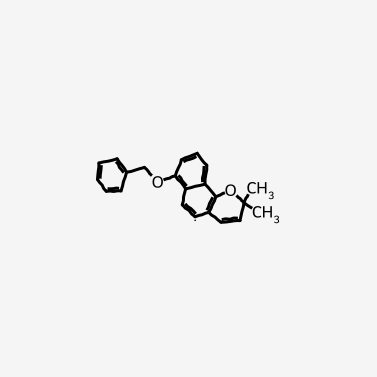 CC1(C)C=Cc2[c]cc3c(OCc4ccccc4)cccc3c2O1